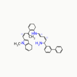 C=C(/C=C\c1cc2c(n1C)C=CCC2)C1=C(N/C=C/C=C\C(N)c2cccc(-c3ccccc3)c2)CCC=C1